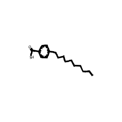 CCCCCCCCCCc1ccc(C(=O)S)cc1